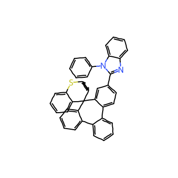 c1ccc(-n2c(-c3ccc4c(c3)C3(c5ccccc5Sc5ccccc53)c3ccccc3-c3ccccc3-4)nc3ccccc32)cc1